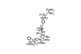 CCC(C)C(C(CC(=O)N1CCC[C@H]1C(OC)C(C)C(=O)NC(Cc1ccccc1)C(=O)OC)OC)N(C)C(=O)C(NC(=O)[C@]1(C)CCCN1C(=O)OCc1ccc(NC(=O)C(N)CCC(N)C(N)=O)cc1)C(C)C